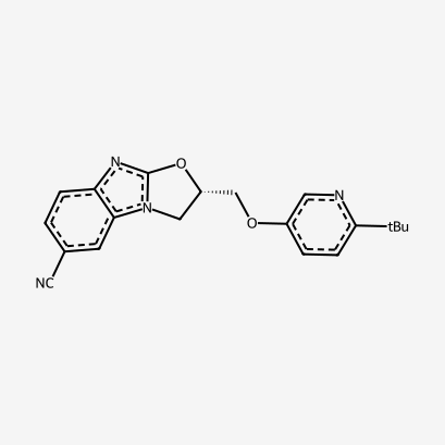 CC(C)(C)c1ccc(OC[C@@H]2Cn3c(nc4ccc(C#N)cc43)O2)cn1